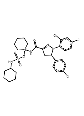 O=C(N[N+]1(OS(=O)(=O)NC2CCCCC2)CCCCC1)C1=NN(c2ccc(Cl)cc2Cl)[C@@H](c2ccc(Cl)cc2)C1